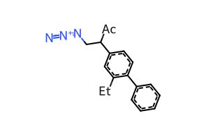 CCc1cc(C(CN=[N+]=[N-])C(C)=O)ccc1-c1ccccc1